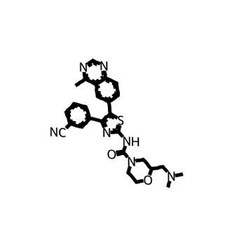 Cc1ncnc2ccc(-c3sc(NC(=O)N4CCOC(CN(C)C)C4)nc3-c3cccc(C#N)c3)cc12